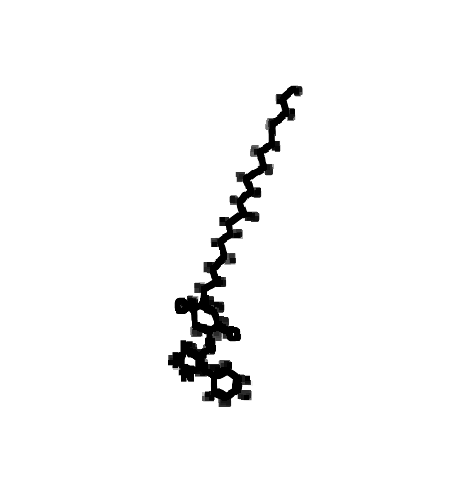 CCCCCCCCCCCCCCCCCCC1=CC(=O)C(Sc2nnnn2-c2ccccc2)=CC1=O